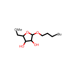 CCC(C)CCCOC1OC(COC)C(O)C1O